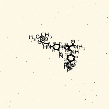 CN(C)S(=O)(=O)CCNC1CC[C@H](n2cc(C(N)=O)c(Nc3ccc(S(=O)(=O)C(F)(F)F)cc3)n2)[C@@H](C#N)C1